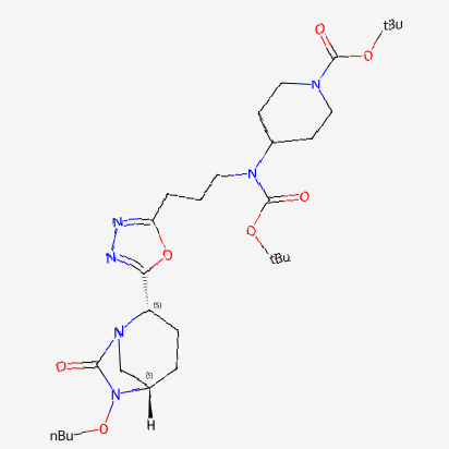 CCCCON1C(=O)N2C[C@@H]1CC[C@H]2c1nnc(CCCN(C(=O)OC(C)(C)C)C2CCN(C(=O)OC(C)(C)C)CC2)o1